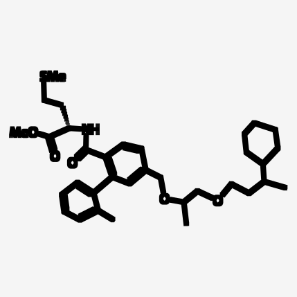 COC(=O)[C@H](CCSC)NC(=O)c1ccc(COC(C)COCCC(C)C2CCCCC2)cc1-c1ccccc1C